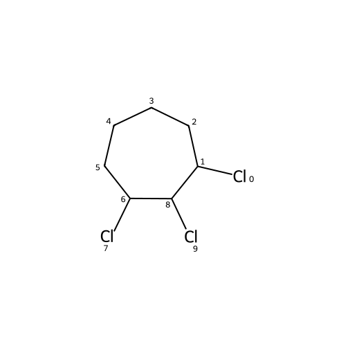 ClC1CCCCC(Cl)C1Cl